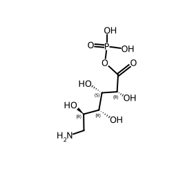 NC[C@@H](O)[C@@H](O)[C@H](O)[C@@H](O)C(=O)OP(=O)(O)O